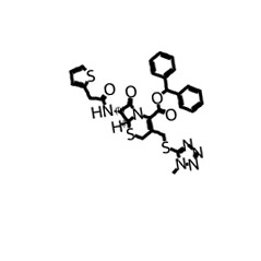 Cn1nnnc1SCC1=C(C(=O)OC(c2ccccc2)c2ccccc2)N2C(=O)[C@@H](NC(=O)Cc3cccs3)[C@H]2SC1